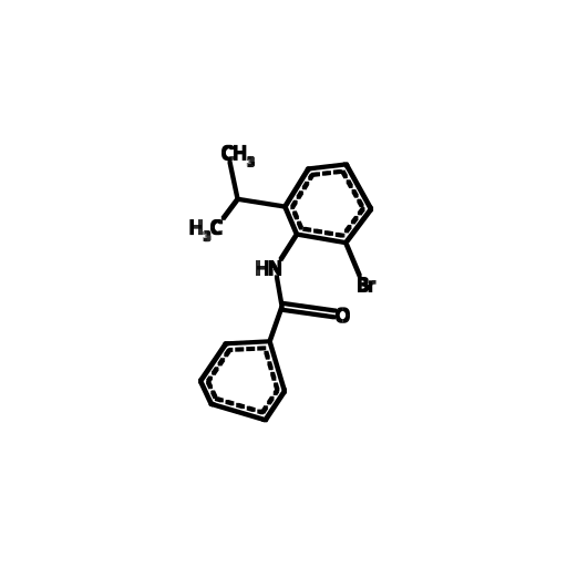 CC(C)c1cccc(Br)c1NC(=O)c1ccccc1